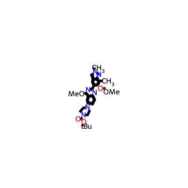 COCOc1c(-c2nc(OC)c3cc(N4CCN(C(=O)OC(C)(C)C)CC4)ccc3n2)cc2cn(C)nc2c1C